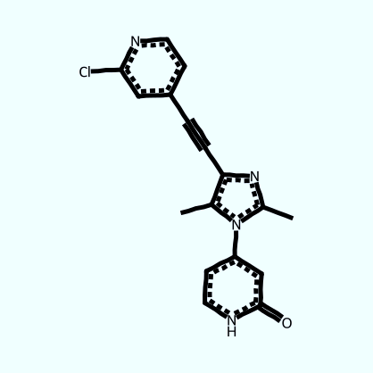 Cc1nc(C#Cc2ccnc(Cl)c2)c(C)n1-c1cc[nH]c(=O)c1